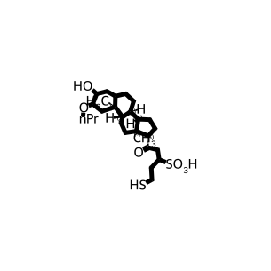 CCCOC1C[C@@]2(C)C(CC[C@H]3[C@@H]4CC[C@H](C(=O)CC(CCS)S(=O)(=O)O)[C@@]4(C)CC[C@@H]32)CC1O